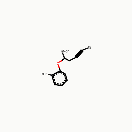 CCC#CCC(CCCCCCCCC)Oc1ccccc1C=O